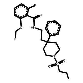 CCCS(=O)(=O)N1CCC(CCNC(=O)c2c(F)cccc2OCF)(c2ccccc2)CC1